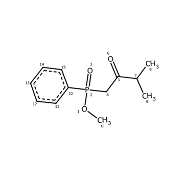 COP(=O)(CC(=O)C(C)C)c1ccccc1